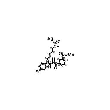 CCc1ccc2c(c1)nc(NC(=O)c1cccc(C(=O)OC)c1)n2CCCCCNC(=O)OC(C)(C)C